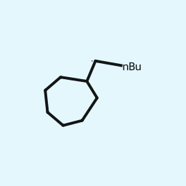 [CH2]CCC[CH]C1CCCCCC1